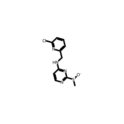 C[S+]([O-])c1nccc(NCc2cccc(Cl)n2)n1